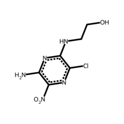 Nc1nc(NCCO)c(Cl)nc1[N+](=O)[O-]